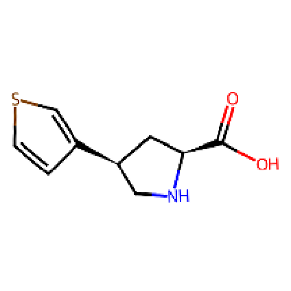 O=C(O)[C@@H]1C[C@H](c2ccsc2)CN1